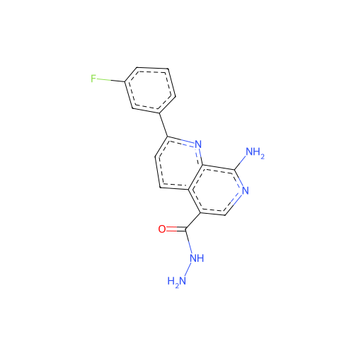 NNC(=O)c1cnc(N)c2nc(-c3cccc(F)c3)ccc12